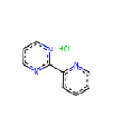 Cl.c1ccc(-c2ncccn2)nc1